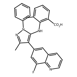 Cc1cccc(C(=O)O)c1Nc1c(-c2cc(F)c3ncccc3c2)c(C)nn1-c1ccccc1